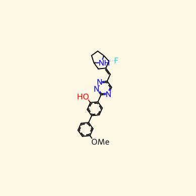 COc1cccc(-c2ccc(-c3ncc(/C=C4\CC5CCC(N5)[C@@H]4F)nn3)c(O)c2)c1